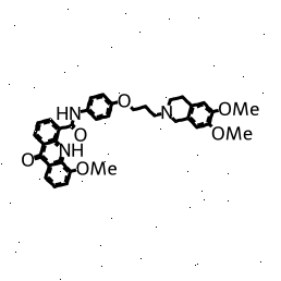 COc1cc2c(cc1OC)CN(CCCOc1ccc(NC(=O)c3cccc4c(=O)c5cccc(OC)c5[nH]c34)cc1)CC2